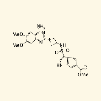 COC(=O)c1ccc2c(S(=O)(=O)NC3CN(c4nc(N)c5cc(OC)c(OC)cc5n4)C3)c[nH]c2c1